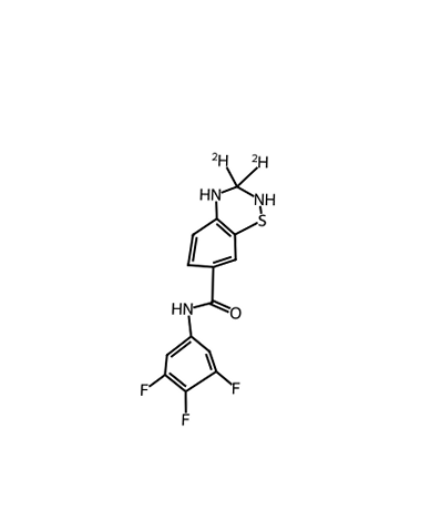 [2H]C1([2H])NSc2cc(C(=O)Nc3cc(F)c(F)c(F)c3)ccc2N1